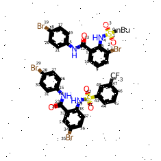 CCCCS(=O)(=O)Nc1c(Br)cccc1C(=O)Nc1ccc(Br)cc1.O=C(Nc1ccc(Br)cc1)c1cc(Br)ccc1NS(=O)(=O)c1cccc(C(F)(F)F)c1